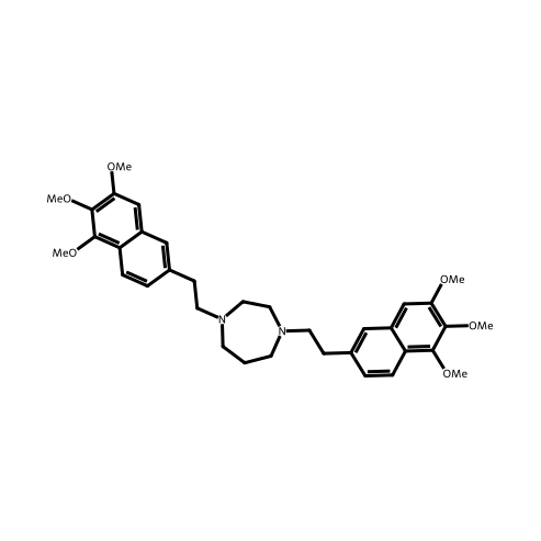 COc1cc2cc(CCN3CCCN(CCc4ccc5c(OC)c(OC)c(OC)cc5c4)CC3)ccc2c(OC)c1OC